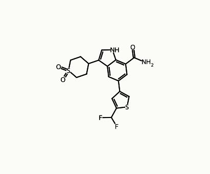 NC(=O)c1cc(-c2csc(C(F)F)c2)cc2c(C3CCS(=O)(=O)CC3)c[nH]c12